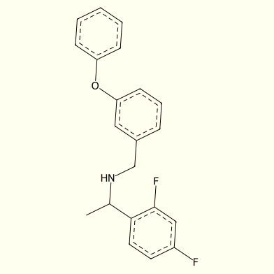 CC(NCc1cccc(Oc2ccccc2)c1)c1ccc(F)cc1F